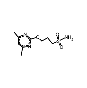 Cc1[c]c(C)nc(OCCCS(N)(=O)=O)n1